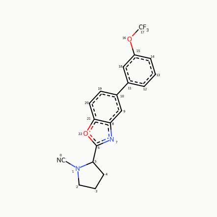 N#CN1CCCC1c1nc2cc(-c3cccc(OC(F)(F)F)c3)ccc2o1